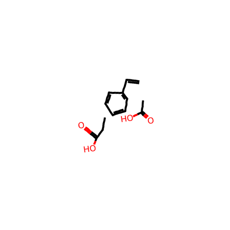 C=Cc1ccccc1.CC(=O)O.CCC(=O)O